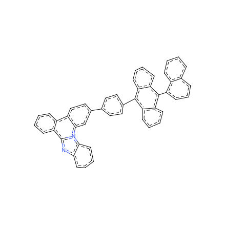 c1ccc2c(-c3c4ccccc4c(-c4ccc(-c5ccc6c7ccccc7c7nc8ccccc8n7c6c5)cc4)c4ccccc34)cccc2c1